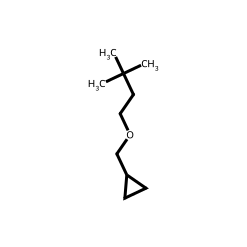 CC(C)(C)CCOCC1CC1